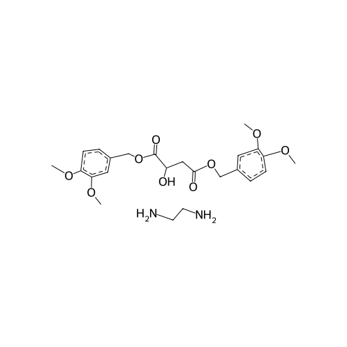 COc1ccc(COC(=O)CC(O)C(=O)OCc2ccc(OC)c(OC)c2)cc1OC.NCCN